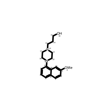 COc1ccc2cccc(N3CCN(CCCO)CC3)c2c1